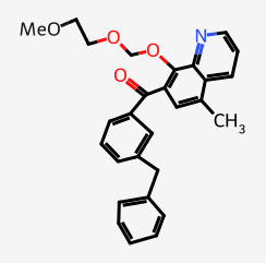 COCCOCOc1c(C(=O)c2cccc(Cc3ccccc3)c2)cc(C)c2cccnc12